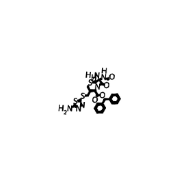 Nc1nnc(SCC2=C(C(=O)OC(c3ccccc3)c3ccccc3)N3C(=O)[C@](N)(NC=O)[C@@H]3SC2)s1